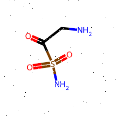 NCC(=O)S(N)(=O)=O